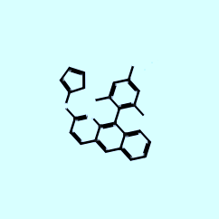 Cc1cc(C)c(-c2c3b[c]([Ti][C]4=CC=CC4)ccc3cc3ccccc23)c(C)c1.Cl.Cl